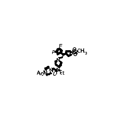 CCN(C(=O)CN1CCN(C(C)=O)CC1)C1CCN(CC[C@@H](c2cc(F)cc(F)c2)C2CCN(S(C)(=O)=O)CC2)CC1